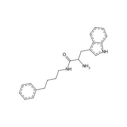 NC(Cc1c[nH]c2ccccc12)C(=O)NCCCCc1ccccc1